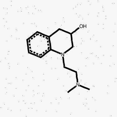 CN(C)CCN1[CH]C(O)Cc2ccccc21